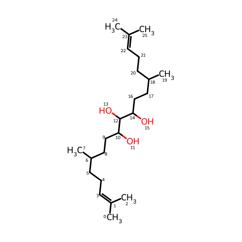 CC(C)=CCCC(C)CCC(O)C(O)C(O)CCC(C)CCC=C(C)C